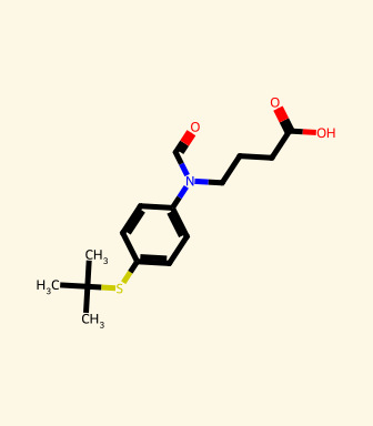 CC(C)(C)Sc1ccc(N(C=O)CCCC(=O)O)cc1